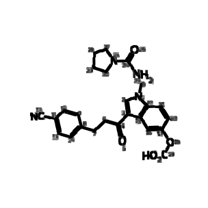 Cn1cc(C(=O)CCc2ccc(C#N)cc2)c2cc(OC(=O)O)ccc21.NC(=O)N1CCCC1